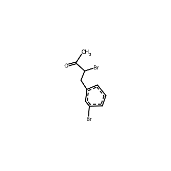 CC(=O)C(Br)Cc1cccc(Br)c1